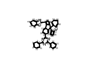 c1ccc(-c2nc(-c3ccccc3)nc(-c3ccc4c(c3)C3(c5ccccc5Oc5ccccc53)c3cccc(-c5nc6ccccc6o5)c3-4)n2)cc1